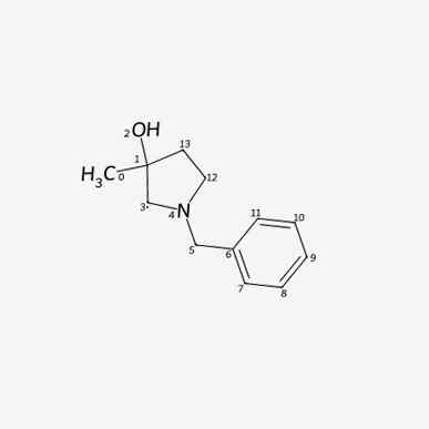 CC1(O)[CH]N(Cc2ccccc2)CC1